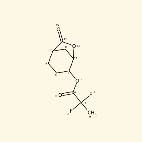 CC(F)(F)C(=O)OC1CCC2CC1OC2=O